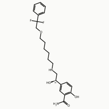 NC(=O)c1cc([C@@H](O)CNCCCCCCOCC(F)(F)c2ccccc2)ccc1O